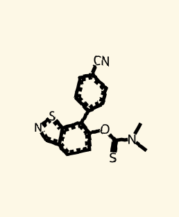 CN(C)C(=S)Oc1ccc2cnsc2c1-c1ccc(C#N)cc1